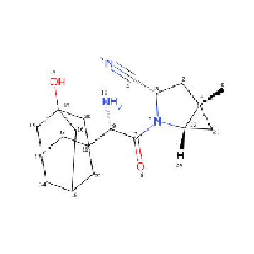 C[C@]12C[C@@H](C#N)N(C(=O)[C@@H](N)C34CC5CC(CC(O)(C5)C3)C4)[C@H]1C2